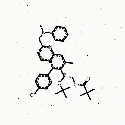 Cc1cc2nc(CN(C)c3ccccc3)ccc2c(-c2ccc(Cl)cc2)c1[C@H](COC(=O)C(C)(C)C)OC(C)(C)C